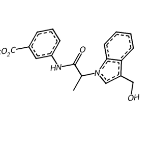 CCOC(=O)c1cccc(NC(=O)C(C)n2cc(CO)c3ccccc32)c1